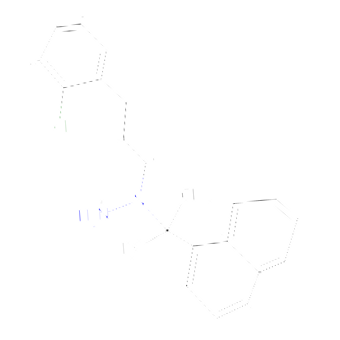 CC(C)(c1cccc2ccccc12)N(N)CCCc1ccccc1Cl